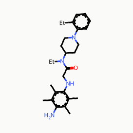 CCc1ccccc1N1CCC(N(CC)C(=O)CNc2c(C)c(C)c(N)c(C)c2C)CC1